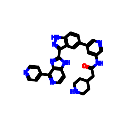 O=C(CC1CCNCC1)Nc1cncc(-c2ccc3[nH]nc(-c4nc5c(-c6ccncc6)nccc5[nH]4)c3c2)c1